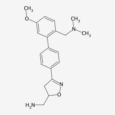 COc1ccc(CN(C)C)c(-c2ccc(C3=NOC(CN)C3)cc2)c1